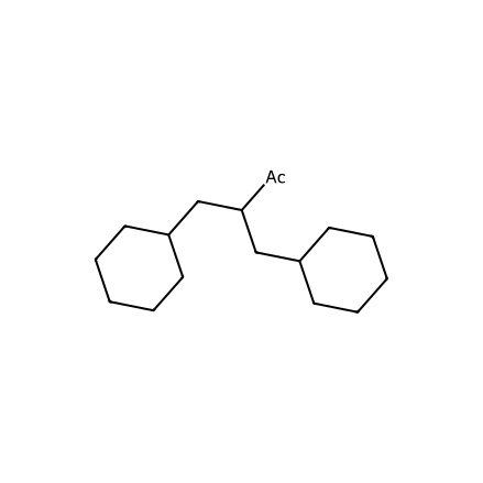 CC(=O)C(CC1CCCCC1)CC1CCCCC1